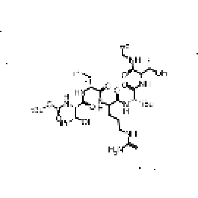 C=C(N)NCCC[C@@H](NC(=O)[C@H](CC(C)C)NC(=O)[C@@H](NC(=O)OC(C)(C)C)[C@H](O)C(C)C)C(=O)N[C@H](C(=O)N[C@H](C(=O)NCC(C)=O)[C@H](C)O)[C@@H](C)CC